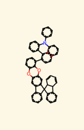 C1=CC2c3ccccc3C3(c4ccccc4-c4cc5c(cc43)Oc3c(cccc3-c3ccccc3-c3ccccc3N(c3ccccc3)c3ccccc3)O5)C2C=C1